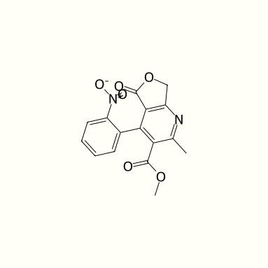 COC(=O)c1c(C)nc2c(c1-c1ccccc1[N+](=O)[O-])C(=O)OC2